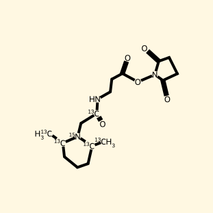 [13CH3][13CH]1CCC[13CH]([13CH3])[15N]1C[13C](=O)NCCC(=O)ON1C(=O)CCC1=O